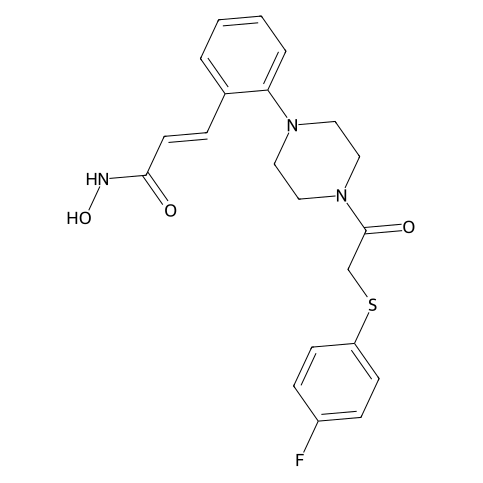 O=C(C=Cc1ccccc1N1CCN(C(=O)CSc2ccc(F)cc2)CC1)NO